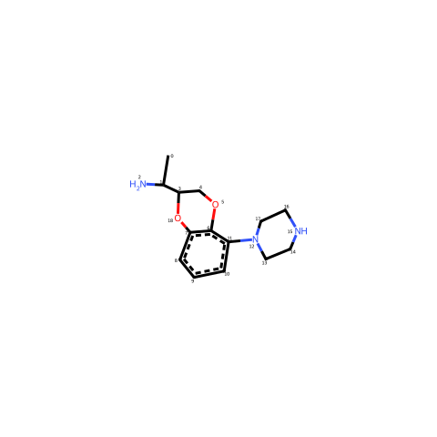 CC(N)C1COc2c(cccc2N2CCNCC2)O1